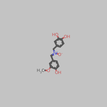 COc1cc(C=[N+]([O-])Cc2ccc(O)c(O)c2)ccc1O